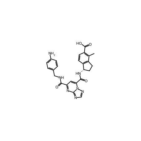 Cc1c(C(=O)O)ccc2c1CC[C@@H]2NC(=O)c1cc(C(=O)NCc2ccc(N)cc2)nc2ncnn12